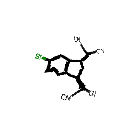 [C-]#[N+]/C(C#N)=C1/C/C(=C(\C#N)[N+]#[C-])c2cc(Br)ccc21